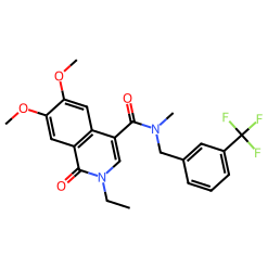 CCn1cc(C(=O)N(C)Cc2cccc(C(F)(F)F)c2)c2cc(OC)c(OC)cc2c1=O